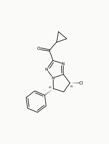 O=C(c1nc2n(n1)[C@@H](c1ccccc1)C[C@H]2Cl)C1CC1